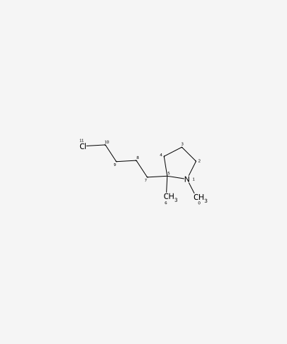 CN1CCCC1(C)CCCCCl